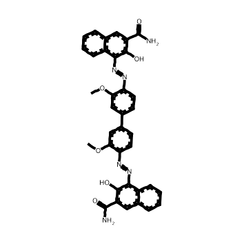 COc1cc(-c2ccc(N=Nc3c(O)c(C(N)=O)cc4ccccc34)c(OC)c2)ccc1N=Nc1c(O)c(C(N)=O)cc2ccccc12